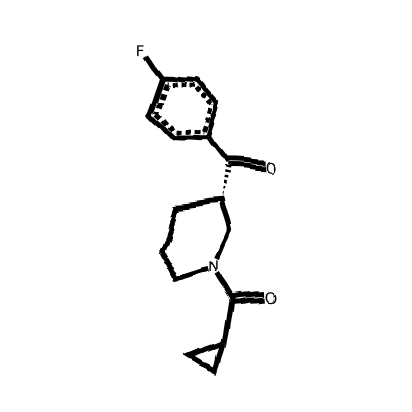 O=C(c1ccc(F)cc1)[C@H]1CCCN(C(=O)C2CC2)C1